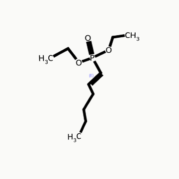 CCCC/C=C/P(=O)(OCC)OCC